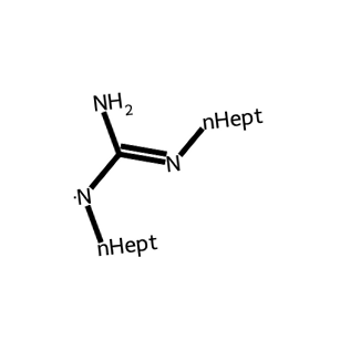 CCCCCCC[N]C(N)=NCCCCCCC